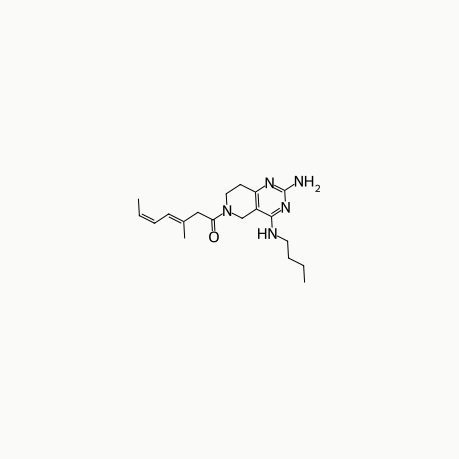 C/C=C\C=C(/C)CC(=O)N1CCc2nc(N)nc(NCCCC)c2C1